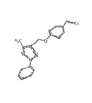 Cc1nn(-c2ccccc2)nc1COc1ccc(C=O)cc1